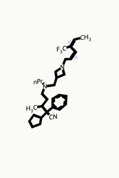 C/C=C(\C=C/CN1CC(CN(CCC)CCC(C)C(C#N)(c2ccccc2)C2CCCC2)C1)C(F)(F)F